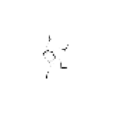 CCO[C@H]1OC[C@@H](OCC)[C@H](OCC)[C@H]1OCC